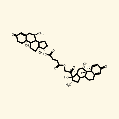 C[C@@H]1CC2=CC(=O)CC[C@]2(C)C2CC[C@@]3(C)C(CC[C@@H]3OC(=O)CCC(=O)OCC(=O)[C@@]3(O)[C@@H](C)CC4C5CCC6=CC(=O)C=C[C@]6(C)[C@@]5(F)[C@@H](O)C[C@@]43C)C21